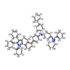 C1=CC2c3cc(N(c4ccc(-c5ccccc5)cc4)c4ccc(-c5cccc6c5ccc5c(-c7ccccc7)c(-c7ccccc7)n(-c7ccccc7)c56)cc4)ccc3N(c3ccccc3)C2C=C1